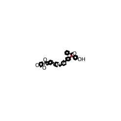 O=C1CC[C@H](N2Cc3cc(N4CCN(CC5CCN(c6ccc(C7c8ccc(O)cc8OC[C@@H]7c7ccccc7)cc6)CC5)CC4)ccc3C2=O)C(=O)C1